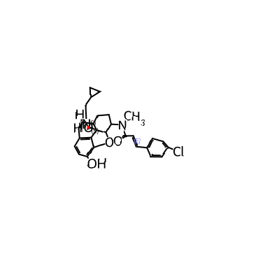 CN(C(=O)/C=C/c1ccc(Cl)cc1)C1CC[C@@]2(O)[C@H]3Cc4ccc(O)c5c4[C@@]2(CCN3CC2CC2)C1O5